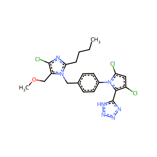 CCCCc1nc(Cl)c(COC)n1Cc1ccc(-n2c(Cl)cc(Cl)c2-c2nnn[nH]2)cc1